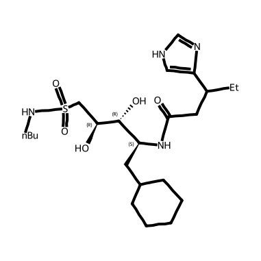 CCCCNS(=O)(=O)C[C@H](O)[C@H](O)[C@H](CC1CCCCC1)NC(=O)CC(CC)c1c[nH]cn1